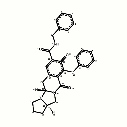 O=C(NCc1ccccc1)c1cn2c(c(Oc3ccccc3)c1=O)C(=O)N1C[C@H]3CCCN3[C@@H]1C2